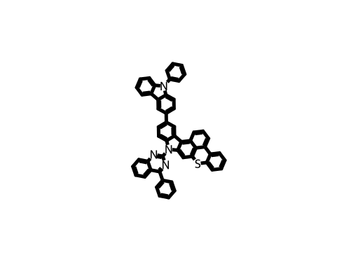 c1ccc(-c2nc(-n3c4ccc(-c5ccc6c(c5)c5ccccc5n6-c5ccccc5)cc4c4c5cccc6c5c(cc43)Sc3ccccc3-6)nc3ccccc23)cc1